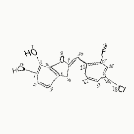 Oc1ccc2c(c1O)OC(=Cc1ccc(Cl)cc1F)C2